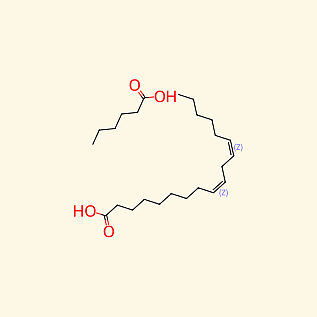 CCCCC/C=C\C/C=C\CCCCCCCC(=O)O.CCCCCC(=O)O